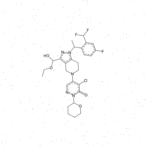 CCOC(O)c1nn(C(C)c2ccc(F)cc2C(F)F)c2c1CN(c1cnn(C3CCCCO3)c(=O)c1Cl)CC2